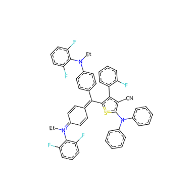 CCN(c1ccc(C(=C2C=CC(=[N+](CC)c3c(F)cccc3F)C=C2)c2sc(N(c3ccccc3)c3ccccc3)c(C#N)c2-c2ccccc2F)cc1)c1c(F)cccc1F